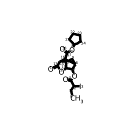 CCC(I)C(=O)OC1C2CC3C1OC(=O)C3C2C(=O)OC1CCCC1